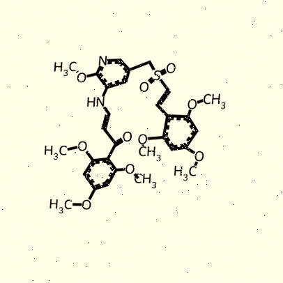 COc1cc(OC)c(/C=C/S(=O)(=O)Cc2cnc(OC)c(N/C=C/C(=O)c3c(OC)cc(OC)cc3OC)c2)c(OC)c1